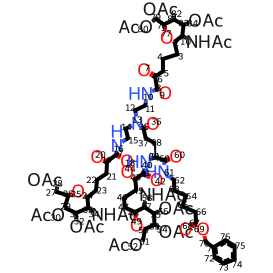 CC(=O)NC1C(CCCC(=O)C(=O)NCCN(CCNC(=O)C(=O)CCCC2OC(COC(C)=O)C(OC(C)=O)C(OC(C)=O)C2NC(C)=O)C(=O)CC[C@H](NC(=O)C(=O)CCCC2OC(COC(C)=O)C(OC(C)=O)C(OC(C)=O)C2NC(C)=O)C(=O)NCCCCCC(=O)OCc2ccccc2)OC(COC(C)=O)C(OC(C)=O)C1OC(C)=O